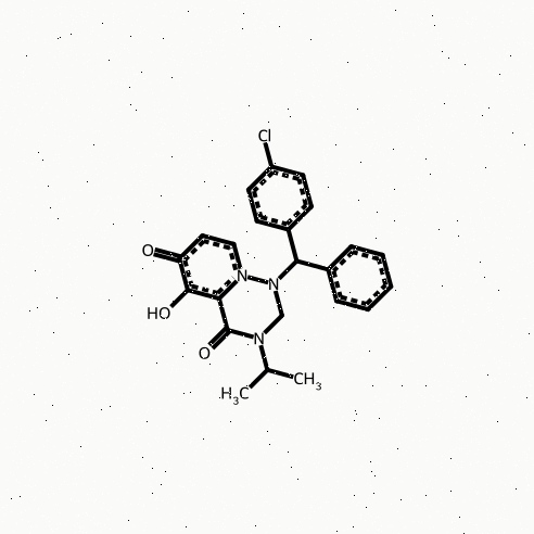 CC(C)N1CN(C(c2ccccc2)c2ccc(Cl)cc2)n2ccc(=O)c(O)c2C1=O